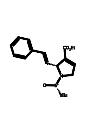 CCCC[S@+]([O-])N1CC=C(C(=O)OCC)[C@H]1/C=C/c1ccccc1